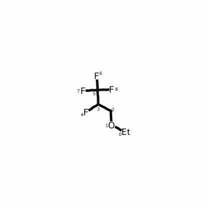 CCOCC(F)C(F)(F)F